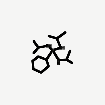 CC(C)N[Si](NC(C)C)(NC(C)C)C1CCCCC1